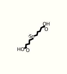 O=C(O)CCC[CH2][Sn][CH2]CCCC(=O)O